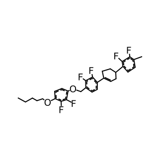 CCCCCOc1ccc(OCc2ccc(C3=CCC(c4ccc(C)c(F)c4F)CC3)c(F)c2F)c(F)c1F